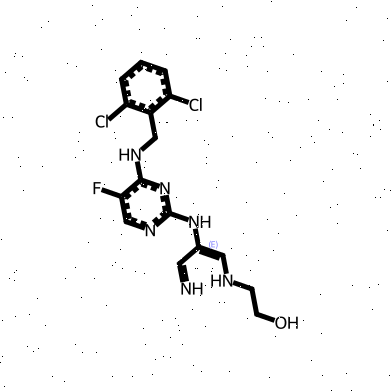 N=C/C(=C\NCCO)Nc1ncc(F)c(NCc2c(Cl)cccc2Cl)n1